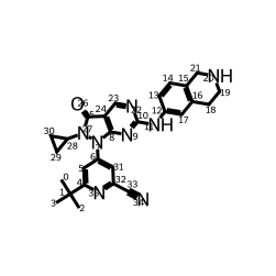 CC(C)(C)c1cc(-n2c3nc(Nc4ccc5c(c4)CCNC5)ncc3c(=O)n2C2CC2)cc(C#N)n1